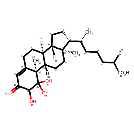 CC(CCC[C@@H](C)[C@H]1CC[C@H]2[C@@H]3CCC4=CC(=O)C(O)C(O)(O)[C@]4(C)[C@H]3CC[C@]12C)C(=O)O